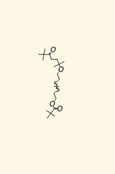 CC(C)(CCC(=O)C(C)(C)C)OCCSSCCOC(=O)C(C)(C)C